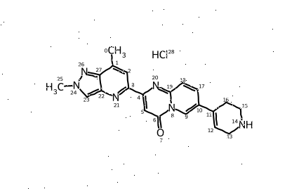 Cc1cc(-c2cc(=O)n3cc(C4=CCNCC4)ccc3n2)nc2cn(C)nc12.Cl